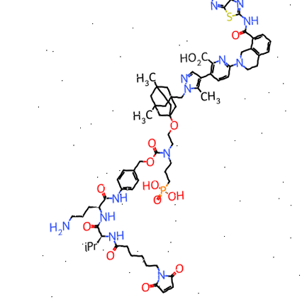 Cc1c(-c2ccc(N3CCc4cccc(C(=O)Nc5nc6cccnc6s5)c4C3)nc2C(=O)O)cnn1CC12CC3(C)CC(C)(C1)CC(OCCN(CCCP(=O)(O)O)C(=O)OCc1ccc(NC(=O)[C@H](CCCN)NC(=O)[C@@H](NC(=O)CCCCCN4C(=O)C=CC4=O)C(C)C)cc1)(C3)C2